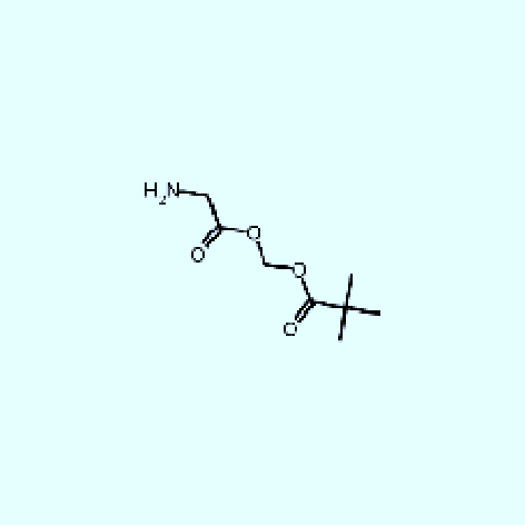 CC(C)(C)C(=O)OCOC(=O)CN